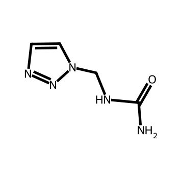 NC(=O)NCn1ccnn1